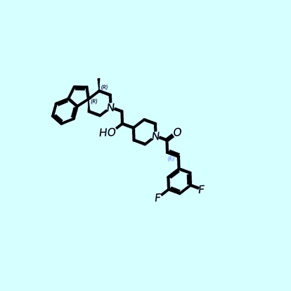 C[C@H]1CN(CC(O)C2CCN(C(=O)/C=C/c3cc(F)cc(F)c3)CC2)CC[C@@]12C=Cc1ccccc12